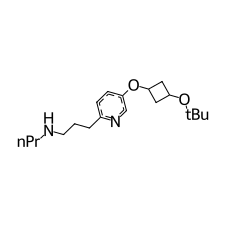 CCCNCCCc1ccc(OC2CC(OC(C)(C)C)C2)cn1